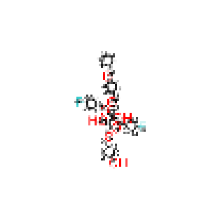 Oc1ccc(COC[C@@H](OCc2ccc(F)cc2)[C@@H](O)[C@H](O)[C@@H](COCc2ccc(OCc3ccccc3)cc2)OCc2ccc(F)cc2)cc1